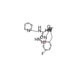 O=C(NCc1ccccn1)C12C=C(N[N+]1(Cc1ccc(F)cc1)N1C=NNC1)O2